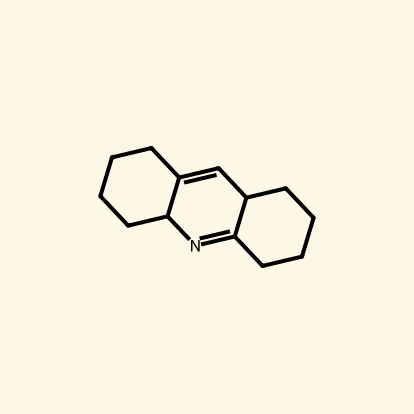 C1=C2CCCCC2N=C2CCCCC12